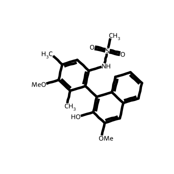 COc1cc2ccccc2c(-c2c(NS(C)(=O)=O)cc(C)c(OC)c2C)c1O